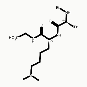 CCN[C@H](C(=O)N[C@@H](CCCCN(C)C)C(=O)NCC(=O)O)C(C)C